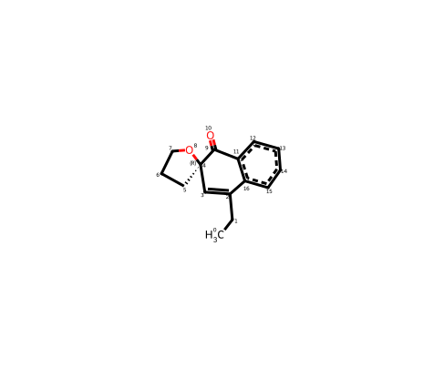 CCC1=C[C@]2(CCCO2)C(=O)c2ccccc21